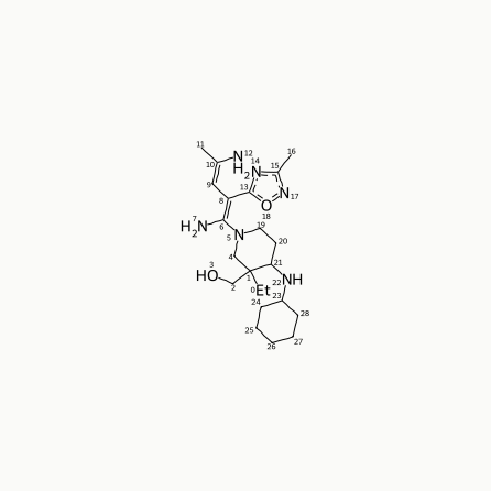 CCC1(CO)CN(/C(N)=C(/C=C(/C)N)c2nc(C)no2)CCC1NC1CCCCC1